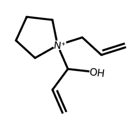 C=CC[N+]1(C(O)C=C)CCCC1